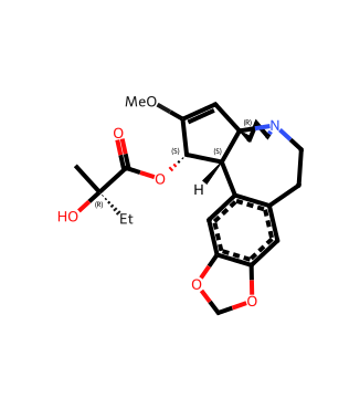 CC[C@@](C)(O)C(=O)O[C@@H]1C(OC)=C[C@]23CCCN2CCc2cc4c(cc2[C@H]13)OCO4